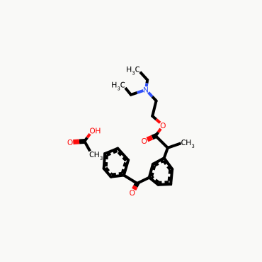 CC(=O)O.CCN(CC)CCOC(=O)C(C)c1cccc(C(=O)c2ccccc2)c1